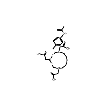 C=C(C)Nc1ccc(C[C@H]2CN(CC(=O)O)CCN(CC(=O)O)CCOCCN2CC(=O)O)cc1